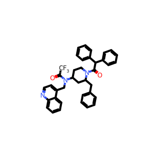 O=C(C(c1ccccc1)c1ccccc1)N1CCC(N(Cc2ccnc3ccccc23)C(=O)C(F)(F)F)CC1Cc1ccccc1